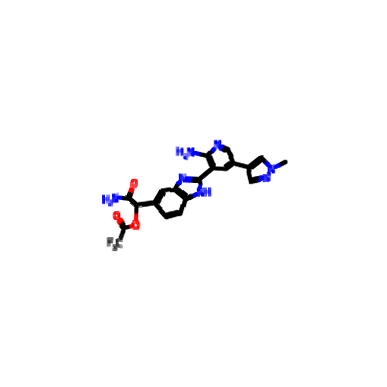 Cn1cc(-c2cnc(N)c(-c3nc4cc(C(OC(=O)C(F)(F)F)C(N)=O)ccc4[nH]3)c2)cn1